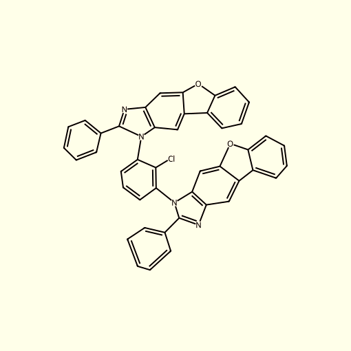 Clc1c(-n2c(-c3ccccc3)nc3cc4c(cc32)oc2ccccc24)cccc1-n1c(-c2ccccc2)nc2cc3oc4ccccc4c3cc21